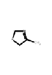 CC1=N[C]SC1